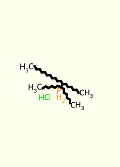 CCCCCCCCCCCCC(CCCCCCC)C(P)(CCCCCCC)CCCCCCC.Cl